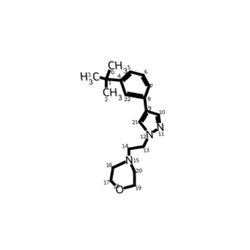 CC(C)(C)c1cccc(-c2cnn(CCN3CCOCC3)c2)c1